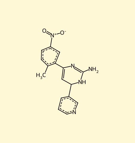 Cc1ccc([N+](=O)[O-])cc1C1=CC(c2cccnc2)NC(N)=N1